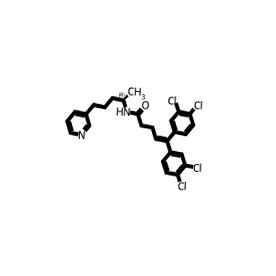 C[C@H](CCCc1cccnc1)NC(=O)CCC=C(c1ccc(Cl)c(Cl)c1)c1ccc(Cl)c(Cl)c1